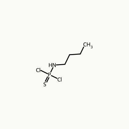 CCCCNP(=S)(Cl)Cl